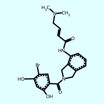 CN(C)C/C=C/C(=O)Nc1cccc2c1CN(C(=O)c1cc(Br)c(O)cc1O)C2